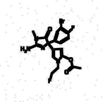 CC(=O)Oc1cc(C2(c3ccc(F)c(Br)c3)N=C(N)N(C)C2=O)cn1CCF